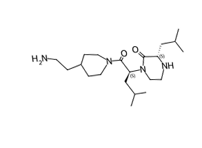 CC(C)C[C@@H]1NCCN([C@@H](CC(C)C)C(=O)N2CCC(CCN)CC2)C1=O